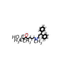 CN(CCCCC(=O)C(C)(C)C(=O)O)CCC(c1ccccc1)c1ccccc1